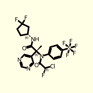 C[C@](C(=O)N[C@@H]1CCC(F)(F)C1)(c1cncnc1)N(C(=O)[C@H](F)Cl)c1ccc(S(F)(F)(F)(F)F)cc1